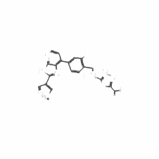 Cn1cc(-c2nc3c(-c4ccc(CNc5nnc(C(F)F)o5)c(F)c4)ccnc3[nH]2)cn1